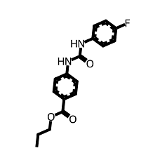 CCCOC(=O)c1ccc(NC(=O)Nc2ccc(F)cc2)cc1